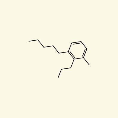 CCCCCc1[c]ccc(C)c1CCC